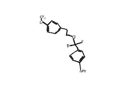 CCCc1ccc(C(F)(F)OCCc2ccc(OC(F)(F)F)cc2)cc1